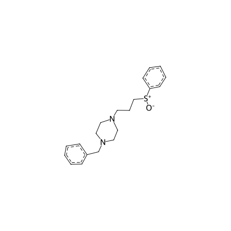 [O-][S+](CCCN1CCN(Cc2ccccc2)CC1)c1ccccc1